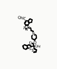 O=Cc1cc2nnn(CCCN3CCC(OC(=O)[C@](O)(c4cccs4)c4cc5ccccc5s4)CC3)c2c2c1CCC2